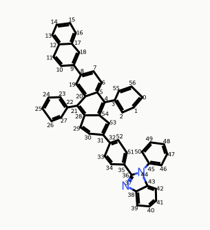 c1ccc(-c2c3ccc(-c4ccc5ccccc5c4)cc3c(-c3ccccc3)c3ccc(-c4ccc(-c5nc6ccccc6n5-c5ccccc5)cc4)cc23)cc1